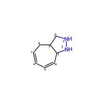 [C]1NNC2C=CC=CCC12